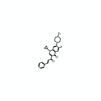 CCN1CCN(c2cc3c(cc2F)c(=O)c(C(=O)C=Cc2ccccc2)cn3C2CC2)CC1